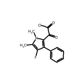 Cc1c(F)c(-c2ccccc2)c(C(=O)C(=O)Cl)n1C